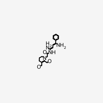 N/C(=C\C=C(/N)NC(=O)CN1CCCC(C=O)=C1C=O)c1ccccc1